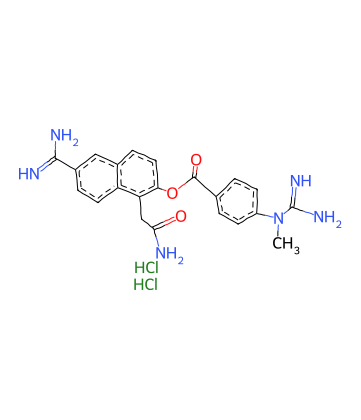 CN(C(=N)N)c1ccc(C(=O)Oc2ccc3cc(C(=N)N)ccc3c2CC(N)=O)cc1.Cl.Cl